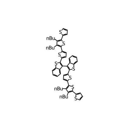 CCCCc1c(-c2cccs2)sc(-c2ccc(-c3sc4ccccc4c3-c3c(-c4ccc(-c5sc(-c6cccs6)c(CCCC)c5CCCC)s4)sc4ccccc34)s2)c1CCCC